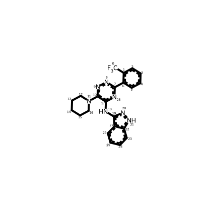 FC(F)(F)c1ccccc1-c1nnc(N2CCCCC2)c(Nc2n[nH]c3ccccc23)n1